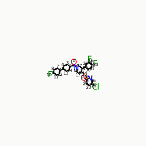 O=C(c1ccc(-c2ccc(F)cc2)cc1)N1CCC(COc2ccc(Cl)cn2)C(c2ccc(F)c(F)c2)C1